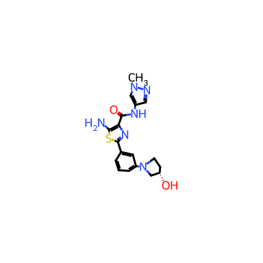 Cn1cc(NC(=O)c2nc(-c3cccc(N4CC[C@H](O)C4)c3)sc2N)cn1